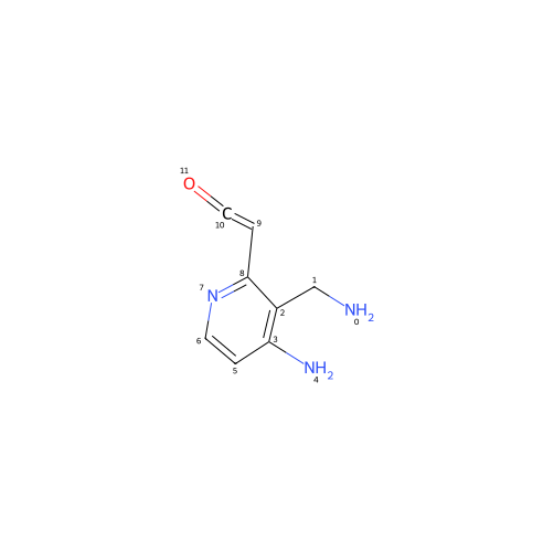 NCc1c(N)ccnc1C=C=O